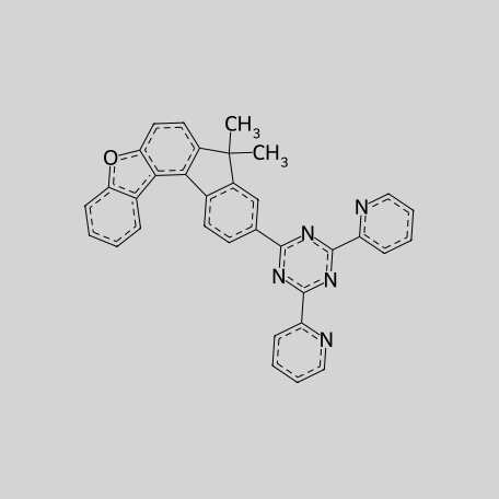 CC1(C)c2cc(-c3nc(-c4ccccn4)nc(-c4ccccn4)n3)ccc2-c2c1ccc1oc3ccccc3c21